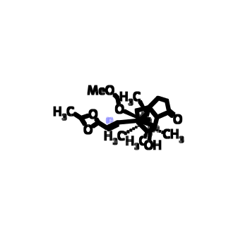 COCO[C@H]1[C@H](C)C23CCC(=O)C2[C@@](C)([C@H](C)CC3)[C@H](O)C[C@@]1(C)/C=C/C1OC(C)O1